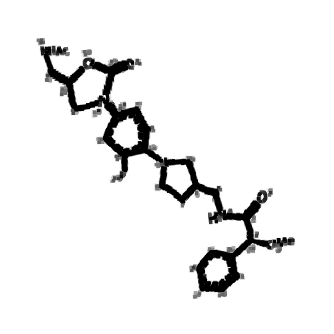 CO[C@H](C(=O)NCC1CCN(c2ccc(N3CC(CNC(C)=O)OC3=O)cc2F)C1)c1ccccc1